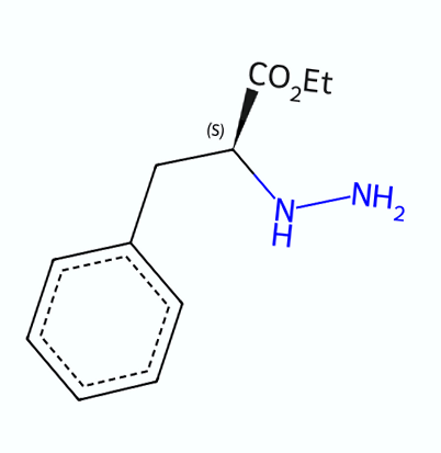 CCOC(=O)[C@H](Cc1ccccc1)NN